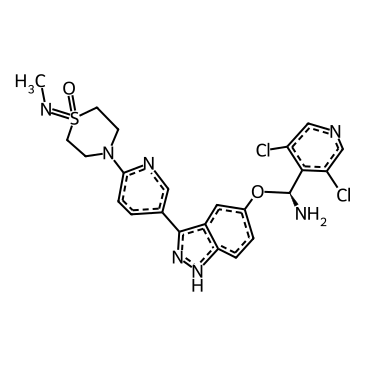 CN=S1(=O)CCN(c2ccc(-c3n[nH]c4ccc(O[C@H](N)c5c(Cl)cncc5Cl)cc34)cn2)CC1